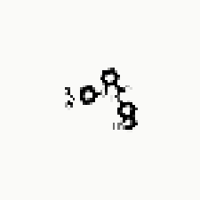 O=C(Nc1ccc2cc[nH]c2c1)c1ccccc1Oc1ccc([N+](=O)[O-])cc1